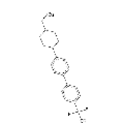 CCC(C)CC1CCC(c2ccc(-c3ccc(C(F)(F)C(F)(F)F)cc3)cc2)CC1